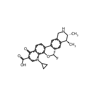 C[C@H]1NCc2cc(-c3ccc4c(=O)c(C(=O)O)cn(C5CC5)c4c3OC(F)F)ccc2[C@@H]1C